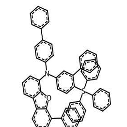 c1ccc(-c2ccc(N(c3ccc(S(c4ccccc4)(c4ccccc4)c4ccccc4)c(-c4ccccc4)c3)c3cccc4c3oc3c(-c5ccccc5)cccc34)cc2)cc1